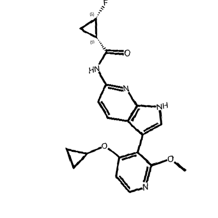 COc1nccc(OC2CC2)c1-c1c[nH]c2nc(NC(=O)[C@@H]3C[C@@H]3F)ccc12